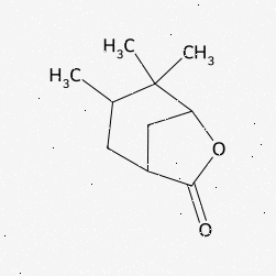 CC1CC2CC(OC2=O)C1(C)C